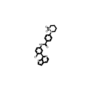 O=C(Nc1ccc(Cl)c(-c2nccc3ccsc23)c1)c1ccc(N2CCCCS2(=O)=O)cc1